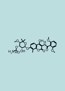 COc1cccc(OC)c1C(=O)Nc1c(O)c2ccc(O[C@@H]3OC(C)(C)[C@H](OC)[C@@H](OC(N)O)[C@H]3O)c(C)c2oc1=O